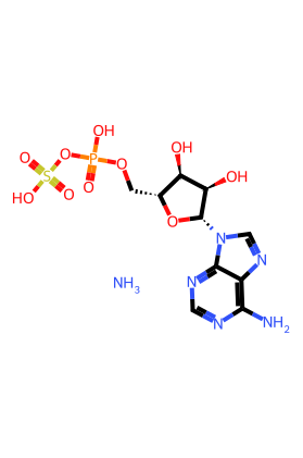 N.Nc1ncnc2c1ncn2[C@@H]1O[C@H](COP(=O)(O)OS(=O)(=O)O)[C@@H](O)[C@H]1O